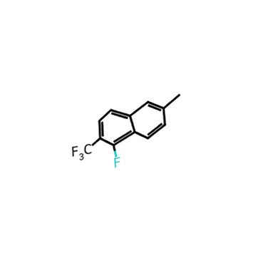 Cc1ccc2c(F)c(C(F)(F)F)ccc2c1